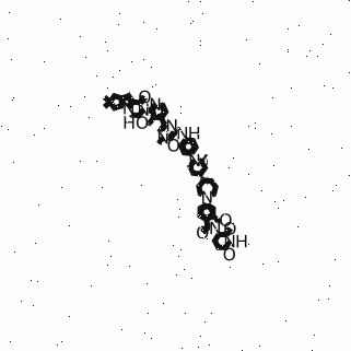 C[C@H]1CC([C@H]2CCCN(c3ccc4c(c3)C(=O)N(C3CCC(=O)NC3=O)C4=O)CC2)CCN1c1ccc(Nc2nc(-c3ccnc(N4CCn5c(cc6c5CC(C)(C)C6)C4=O)c3CO)cn(C)c2=O)cc1